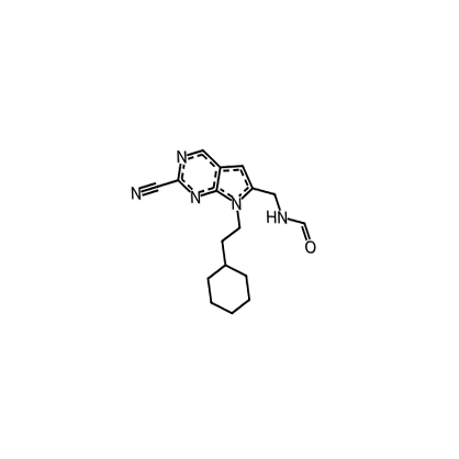 N#Cc1ncc2cc(CNC=O)n(CCC3CCCCC3)c2n1